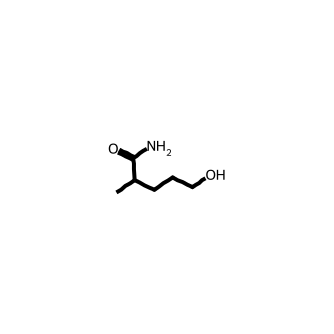 CC(CCCO)C(N)=O